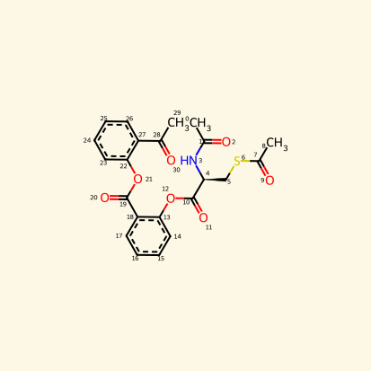 CC(=O)N[C@@H](CSC(C)=O)C(=O)Oc1ccccc1C(=O)Oc1ccccc1C(C)=O